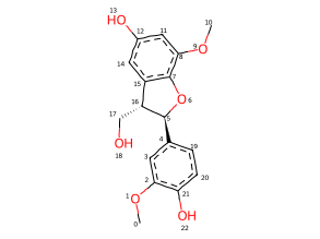 COc1cc([C@@H]2Oc3c(OC)cc(O)cc3[C@H]2CO)ccc1O